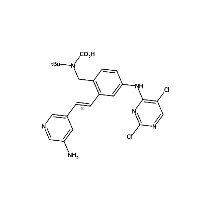 CC(C)(C)N(Cc1ccc(Nc2nc(Cl)ncc2Cl)cc1/C=C/c1cncc(N)c1)C(=O)O